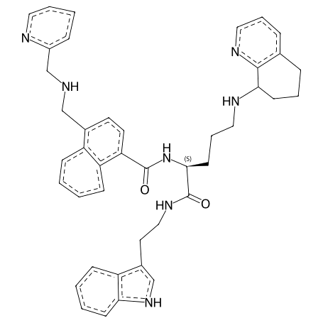 O=C(N[C@@H](CCCNC1CCCc2cccnc21)C(=O)NCCc1c[nH]c2ccccc12)c1ccc(CNCc2ccccn2)c2ccccc12